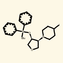 CC(C)(C)[Si](O[C@@H]1COC[C@@H]1N1CCC(I)CC1)(c1ccccc1)c1ccccc1